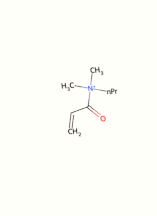 C=CC(=O)[N+](C)(C)CCC